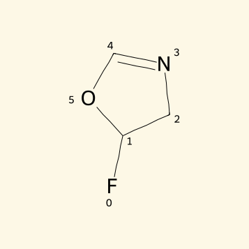 FC1CN=CO1